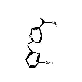 COc1cccc(Oc2ccc(C(N)=O)cn2)c1